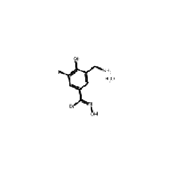 CCC(=NO)c1cc(I)c(O)c(CN)c1.O